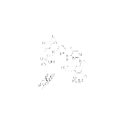 COc1cc(Nc2ncc(F)c(Nc3ccc4c(n3)N(COP(=O)(O)O)C(=O)C(C)(C)O4)n2)cc(OC)c1OC.O.O.O.O.O.O